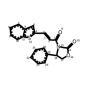 O=C(/C=C/c1cc2ccccc2s1)N1C(=O)OCC1c1ccccc1